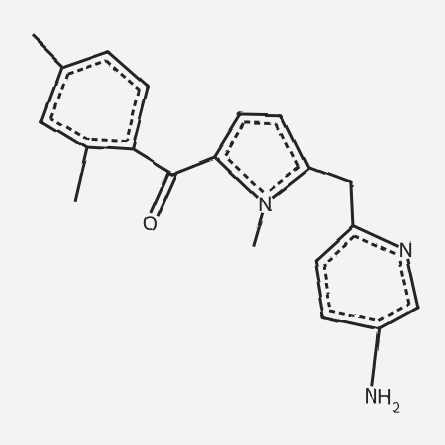 Cc1ccc(C(=O)c2ccc(Cc3ccc(N)cn3)n2C)c(C)c1